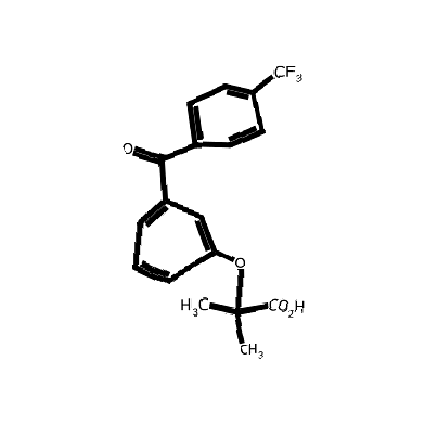 CC(C)(Oc1cccc(C(=O)c2ccc(C(F)(F)F)cc2)c1)C(=O)O